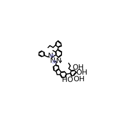 C=N/C(=N\C(=N/Cc1ccccc1)c1cccc(-c2ccccc2CCC)c1C)c1ccc2c(c1)-c1cc(-c3c(O)c(O)c(O)c(O)c3CCC)ccc1C2